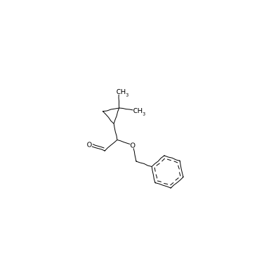 CC1(C)CC1C(C=O)OCc1ccccc1